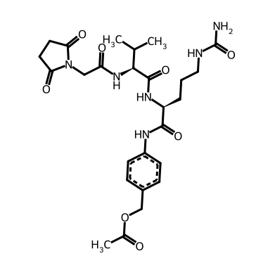 CC(=O)OCc1ccc(NC(=O)[C@H](CCCNC(N)=O)NC(=O)[C@@H](NC(=O)CN2C(=O)CCC2=O)C(C)C)cc1